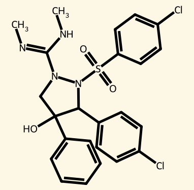 CN=C(NC)N1CC(O)(c2ccccc2)C(c2ccc(Cl)cc2)N1S(=O)(=O)c1ccc(Cl)cc1